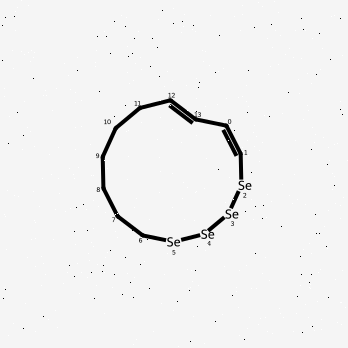 C1=C\[Se][Se][Se][Se]CCCCCC/C=C/1